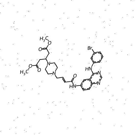 COC(=O)CC(CC(=O)OC)N1CCN(CC=CC(=O)Nc2ccc3ncnc(Nc4cccc(Br)c4)c3c2)CC1